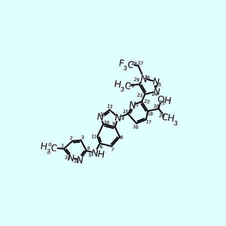 Cc1ccc(Nc2ccc3c(c2)ncn3-c2ccc(C(C)O)c(-c3nnn(CC(F)(F)F)c3C)n2)nn1